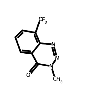 Cn1nnc2c(C(F)(F)F)cccc2c1=O